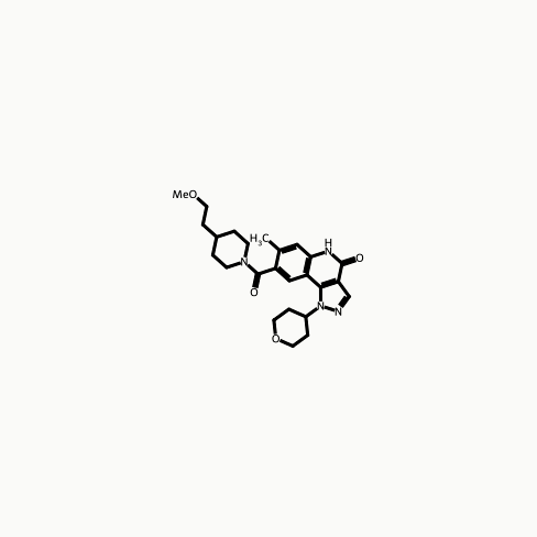 COCCC1CCN(C(=O)c2cc3c(cc2C)[nH]c(=O)c2cnn(C4CCOCC4)c23)CC1